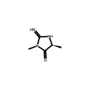 C[C@@H]1NC(=N)N(C)C1=O